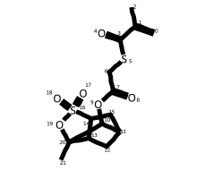 C=C(C)C(=O)SCC(=O)OC1C2CC3C(C2)S(=O)(=O)OC31C